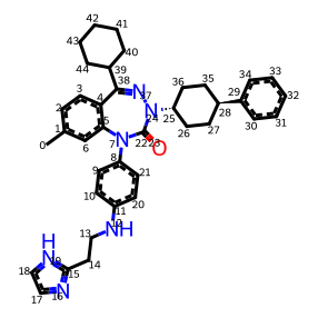 Cc1ccc2c(c1)N(c1ccc(NCCc3ncc[nH]3)cc1)C(=O)N([C@H]1CC[C@H](c3ccccc3)CC1)N=C2C1CCCCC1